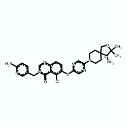 CC1(C)OCC2(CCN(c3cnc(Sc4ccc5ncn(Cc6ccc(N)nc6)c(=O)c5c4Cl)cn3)CC2)[C@@H]1N